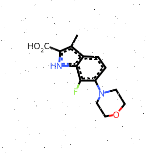 Cc1c(C(=O)O)[nH]c2c(F)c(N3CCOCC3)ccc12